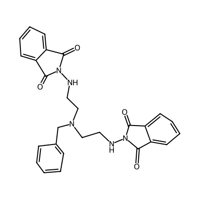 O=C1c2ccccc2C(=O)N1NCCN(CCNN1C(=O)c2ccccc2C1=O)Cc1ccccc1